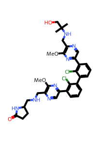 COc1nc(-c2cccc(-c3cccc(-c4cnc(CNC(C)(C)CO)c(OC)n4)c3Cl)c2Cl)cnc1CNCC1CCC(=O)N1